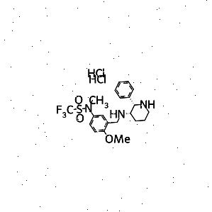 COc1ccc(N(C)S(=O)(=O)C(F)(F)F)cc1CN[C@H]1CCCN[C@H]1c1ccccc1.Cl.Cl